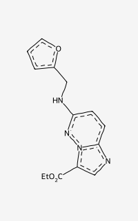 CCOC(=O)c1cnc2ccc(NCc3ccco3)nn12